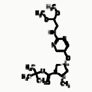 COC(CNc1ncc(O[C@@H]2C[C@H](C)N(C(=O)OC(C)(C)C)C2)cn1)OC